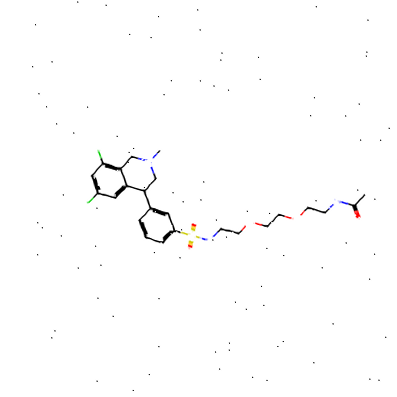 CC(=O)NCCOCCOCCNS(=O)(=O)c1cccc(C2CN(C)Cc3c(Cl)cc(Cl)cc32)c1